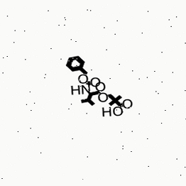 CC(C)[C@H](NC(=O)OCc1ccccc1)C(=O)OCC(C)(C)C(=O)O